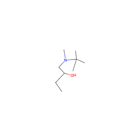 CCC(O)CN(C)C(C)(C)C